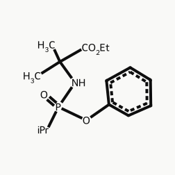 CCOC(=O)C(C)(C)NP(=O)(Oc1ccccc1)C(C)C